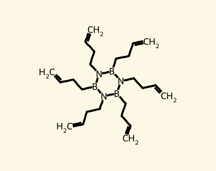 C=CCCB1N(CCC=C)B(CCC=C)N(CCC=C)B(CCC=C)N1CCC=C